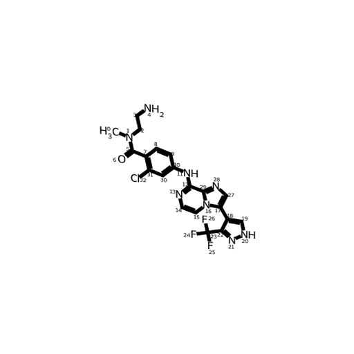 CN(CCN)C(=O)c1ccc(Nc2nccn3c(-c4c[nH]nc4C(F)(F)F)cnc23)cc1Cl